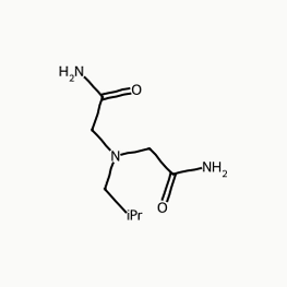 CC(C)CN(CC(N)=O)CC(N)=O